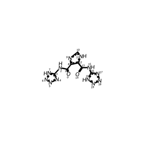 O=C(Nc1nnn[nH]1)c1nc[nH]c1C(=O)Nc1nnn[nH]1